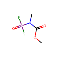 COC(=O)N(C)P(=O)(F)F